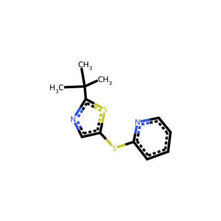 CC(C)(C)c1ncc(Sc2ccccn2)s1